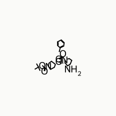 CC(C)(C)OC(=O)N1CCC(OC[C@H]2[C@@H](N)CCCN2C(=O)OCc2ccccc2)CC1